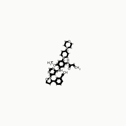 C#Cc1cccc(C2CCON2c2cc(Nc3cc(NC(=O)C=C)c(N4CCC(N5CCOCC5)CC4)cc3OC)ncn2)c1